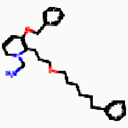 NCN1CC=CC(OCc2ccccc2)=C1CCCOCCCCCCc1ccccc1